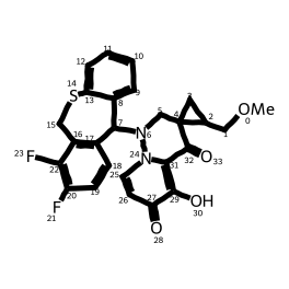 COCC1CC12CN(C1c3ccccc3SCc3c1ccc(F)c3F)n1ccc(=O)c(O)c1C2=O